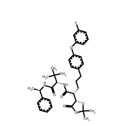 C[C@@H](NC(=O)[C@@H](NC(=O)[C@H](CCCc1ccc(Oc2cccc(F)c2)cc1)[C@@H]1OC(C)(C)OC1=O)C(C)(C)C)c1ccccc1